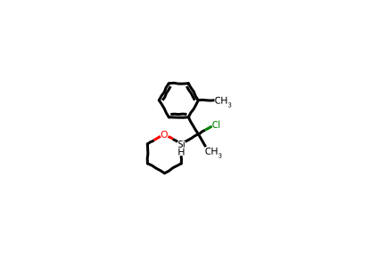 Cc1ccccc1C(C)(Cl)[SiH]1CCCCO1